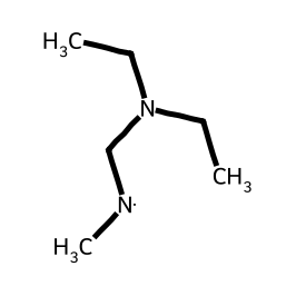 CCN(CC)C[N]C